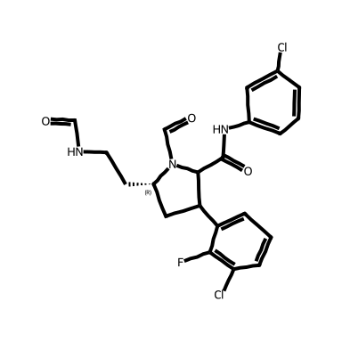 O=CNCC[C@H]1CC(c2cccc(Cl)c2F)C(C(=O)Nc2cccc(Cl)c2)N1C=O